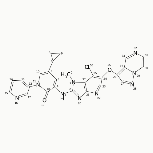 Cn1c(Nc2cc(C3CC3)cn(-c3cccnc3)c2=O)nc2ncc(Oc3cnn4ccncc34)c(Cl)c21